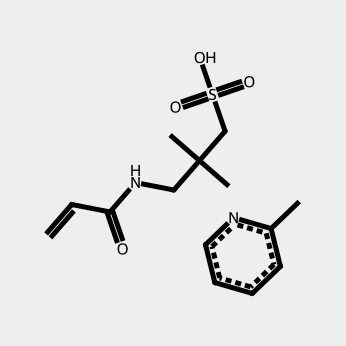 C=CC(=O)NCC(C)(C)CS(=O)(=O)O.Cc1ccccn1